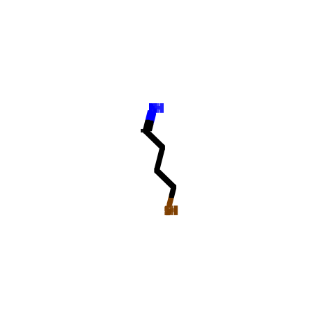 N=[C]CCCS